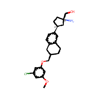 COc1cc(Cl)cc(OCC2CCc3cc([C@H]4CC[C@](N)(CO)C4)ccc3C2)c1